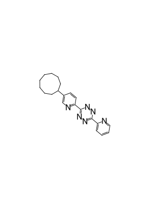 c1ccc(-c2nnc(-c3ccc(C4CCCCCCCC4)cn3)nn2)nc1